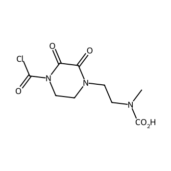 CN(CCN1CCN(C(=O)Cl)C(=O)C1=O)C(=O)O